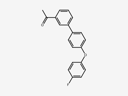 CC(=O)c1cccc(-c2ccc(Oc3ccc(F)cc3)cc2)c1